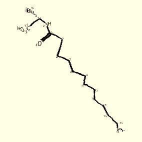 CCC(C)[C@H](NC(=O)CCCCCCCCCCCC(C)C)C(=O)O